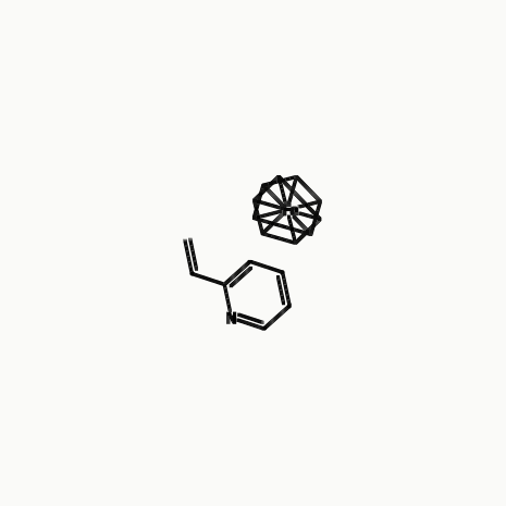 C=Cc1ccccn1.[CH]12[CH]3[CH]4[CH]5[CH]1[Fe]23451678[CH]2[CH]1[CH]6[CH]7[CH]28